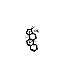 C[C@]12CC[C@H]3[C@@H](CC=C4C=CC=C[C@@H]43)[C@@H]1CCC2O